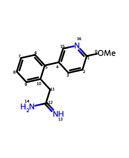 COc1ccc(-c2ccccc2CC(=N)N)cn1